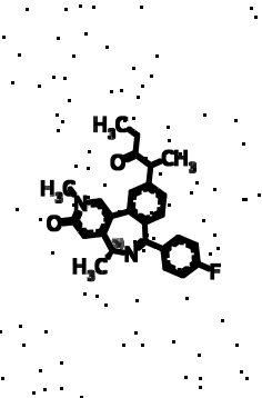 CCC(=O)C(C)c1ccc2c(c1)-c1cn(C)c(=O)cc1[C@H](C)N=C2c1ccc(F)cc1